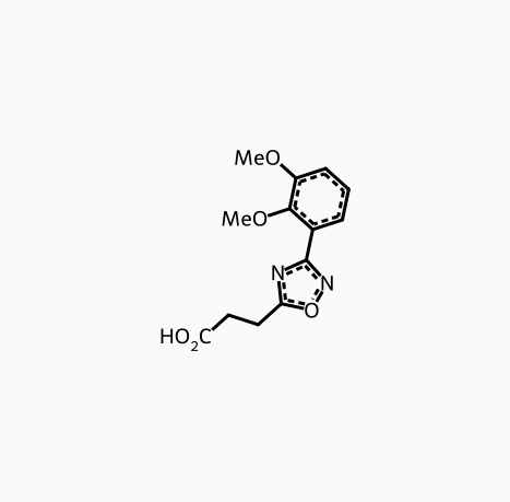 COc1cccc(-c2noc(CCC(=O)O)n2)c1OC